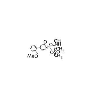 COCc1ccccc1-c1ccn(CCC(C)(C(=O)NO)S(C)(=O)=O)c(=O)c1